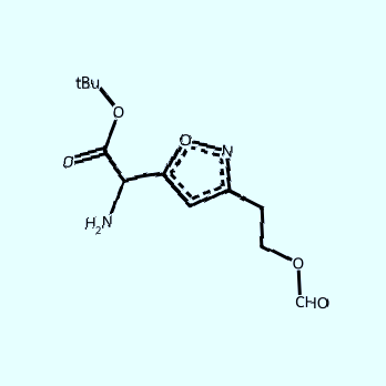 CC(C)(C)OC(=O)C(N)c1cc(CCOC=O)no1